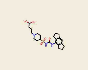 O=C(Nc1c2c(cc3c1CCC3)CCC2)NS(=O)(=O)C1CCN(CCCB(O)O)CC1